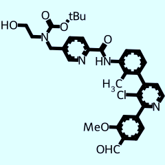 COc1cc(-c2nccc(-c3cccc(NC(=O)c4ccc(CN(CCO)C(=O)OC(C)(C)C)cn4)c3C)c2Cl)ccc1C=O